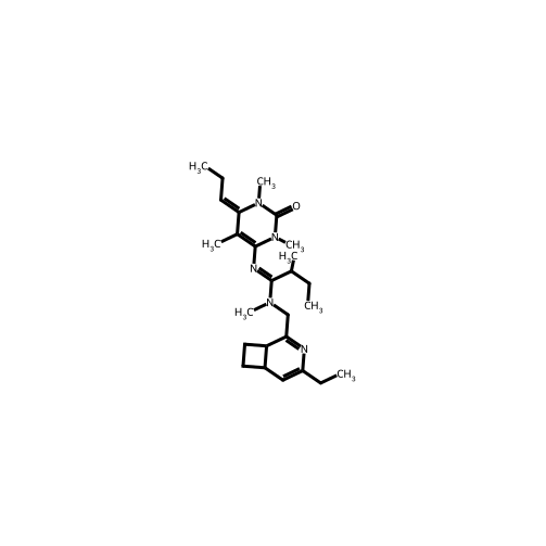 CC/C=C1C(C)=C(/N=C(\C(C)CC)N(C)CC2=NC(CC)=CC3CCC23)N(C)C(=O)N/1C